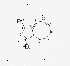 CCC1CC(CC)C2CCCC=CC=C12